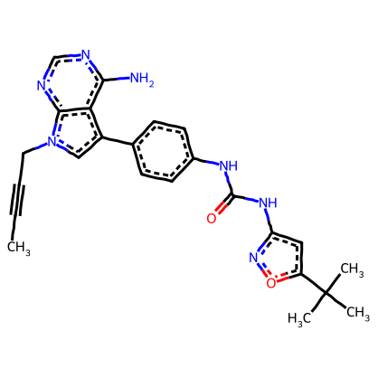 CC#CCn1cc(-c2ccc(NC(=O)Nc3cc(C(C)(C)C)on3)cc2)c2c(N)ncnc21